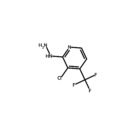 NNc1nccc(C(F)(F)F)c1Cl